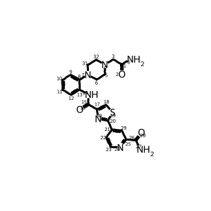 NC(=O)CN1CCN(c2ccccc2NC(=O)c2csc(-c3ccnc(C(N)=O)c3)n2)CC1